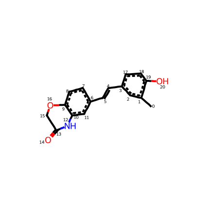 Cc1cc(/C=C/c2ccc3c(c2)NC(=O)CO3)ccc1O